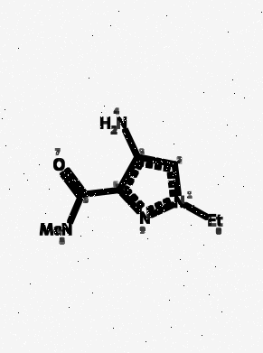 CCn1cc(N)c(C(=O)NC)n1